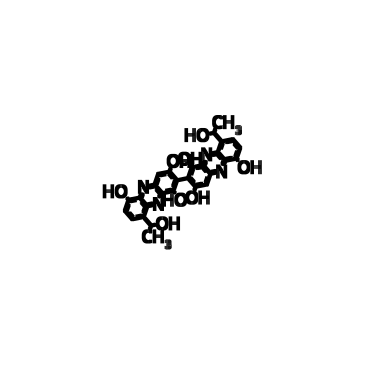 CC(O)c1ccc(O)c2nc3cc(O)c(-c4c(O)cc5nc6c(O)ccc(C(C)O)c6nc5c4O)c(O)c3nc12